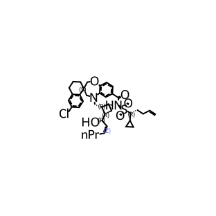 C=CCC[C@H](C1CC1)S(=O)(=O)NC(=O)c1ccc2c(c1)N(C[C@@H]1CC[C@H]1[C@@H](O)/C=C\CCC)C[C@@]1(CCCc3cc(Cl)ccc31)CO2